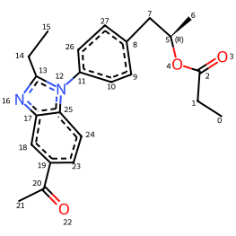 CCC(=O)O[C@H](C)Cc1ccc(-n2c(CC)nc3cc(C(C)=O)ccc32)cc1